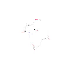 COC1CC(=O)NC1=O.O=C(O)CCC(=O)O